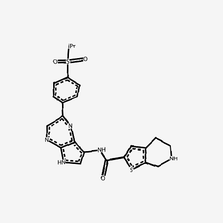 CC(C)S(=O)(=O)c1ccc(-c2cnc3[nH]cc(NC(=O)c4cc5c(s4)CNCC5)c3n2)cc1